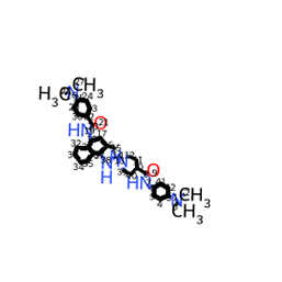 CN(C)c1ccc(NC(=O)C2CCN(N3Cc4cc(NC(=O)c5ccc(N(C)C)cc5)c5ccccc5c4N3)CC2)cc1